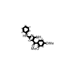 COc1ccc(C(=O)c2sc(Nc3ccccc3)nc2N)c(OC)c1